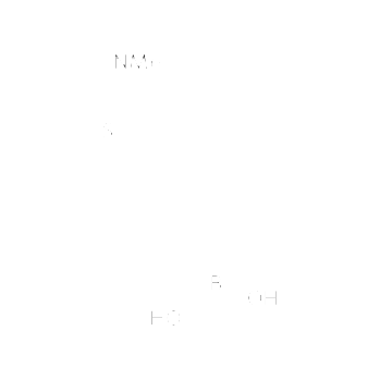 CNSc1cccc(B(O)O)c1